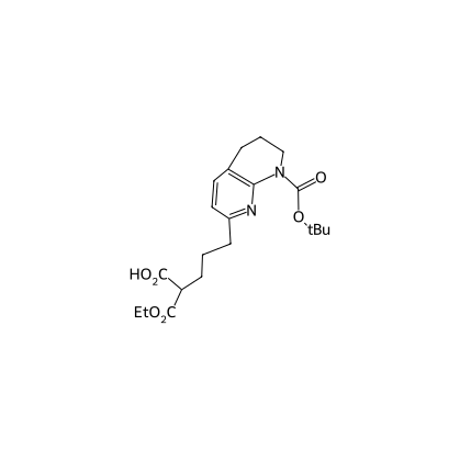 CCOC(=O)C(CCCc1ccc2c(n1)N(C(=O)OC(C)(C)C)CCC2)C(=O)O